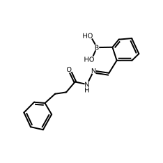 O=C(CCc1ccccc1)N/N=C/c1ccccc1B(O)O